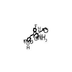 COc1cc(C=C2C(C)=C(C(NCc3ccco3)C(N)=O)c3cc(F)ccc32)cc(OC)c1O